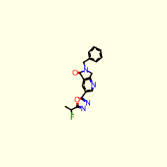 CC(F)c1nnc(-c2cnc3c(c2)C(=O)N(Cc2ccccc2)C3)o1